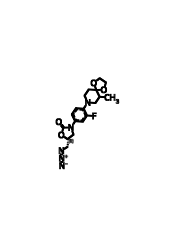 CC1CN(c2ccc(N3C[C@H](CN=[N+]=[N-])OC3=O)cc2F)CCC12OCCO2